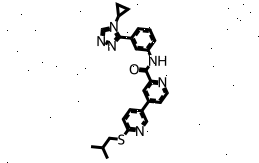 CC(C)CSc1ccc(-c2ccnc(C(=O)Nc3cccc(-c4nncn4C4CC4)c3)c2)cn1